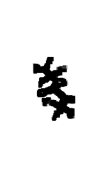 C=C(C(=O)OC(F)(F)C(F)F)C(F)(F)Cl